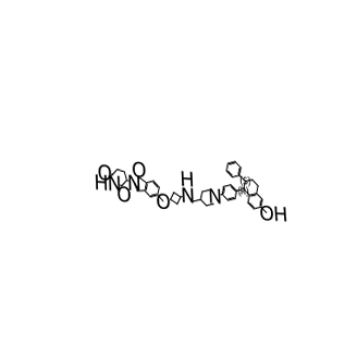 O=C1CCC(N2Cc3cc(O[C@H]4C[C@H](NCC5CCN(c6ccc([C@@H]7c8ccc(O)cc8CC[C@@H]7c7ccccc7)cc6)CC5)C4)ccc3C2=O)C(=O)N1